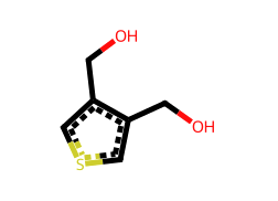 OCc1cscc1CO